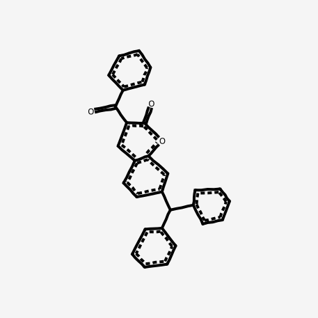 O=C(c1ccccc1)c1cc2ccc(C(c3ccccc3)c3ccccc3)cc2oc1=O